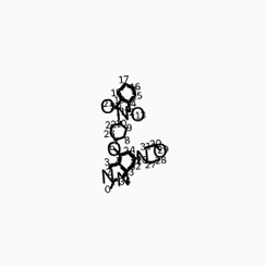 Cc1ncc2c(OC3CCC(N4C(=O)c5ccccc5C4=O)CC3)cc(N3CCOCC3)cc2n1